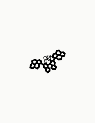 O=P1(O)Oc2c(-c3ccc4ccc5cccc6ccc3c4c56)cc3ccccc3c2-c2c(c(-c3ccc4ccc5cccc6ccc3c4c56)cc3ccccc23)O1